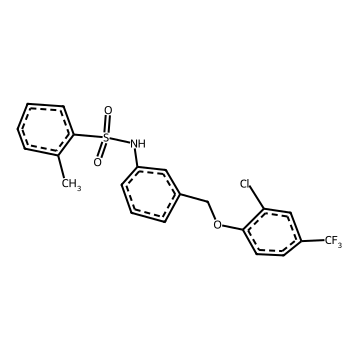 Cc1ccccc1S(=O)(=O)Nc1cccc(COc2ccc(C(F)(F)F)cc2Cl)c1